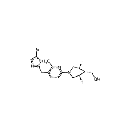 CC(=O)c1cnn(Cc2ccc(N3C[C@@H]4[C@H](CO)[C@@H]4C3)nc2C)c1